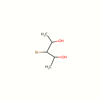 CC(O)C(Br)C(C)O